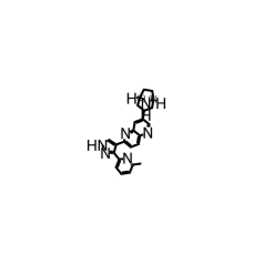 Cc1cccc(-c2n[nH]cc2-c2ccc3ncc(C4C[C@H]5CC[C@@H](C4)N5)cc3n2)n1